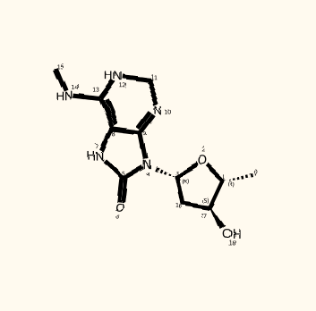 [CH2][C@H]1O[C@@H](n2c(=O)[nH]c3c2=NCNC=3NC)C[C@@H]1O